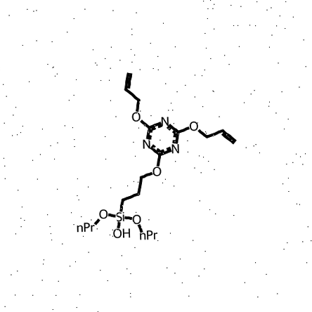 C=CCOc1nc(OCC=C)nc(OCCC[Si](O)(OCCC)OCCC)n1